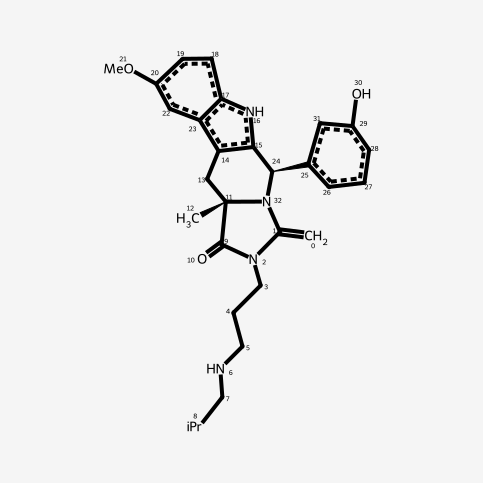 C=C1N(CCCNCC(C)C)C(=O)[C@]2(C)Cc3c([nH]c4ccc(OC)cc34)[C@@H](c3cccc(O)c3)N12